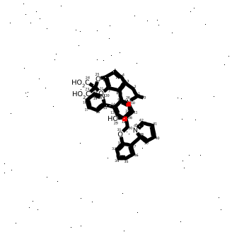 CC(Cc1ccc2c(c1-c1ccccc1-c1ccccn1)OC(C(=O)O)(C(=O)O)O2)NCC(O)COc1ccccc1-c1ccccn1